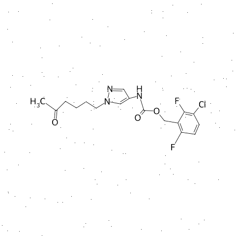 CC(=O)CCCCn1cc(NC(=O)OCc2c(F)ccc(Cl)c2F)cn1